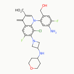 C=C1C(C(=O)O)=CN(c2cc(N)c(F)cc2CO)c2c1cc(F)c(N1CC(NC3CCOCC3)C1)c2Cl